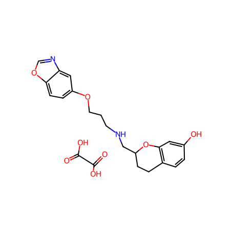 O=C(O)C(=O)O.Oc1ccc2c(c1)OC(CNCCCOc1ccc3ocnc3c1)CC2